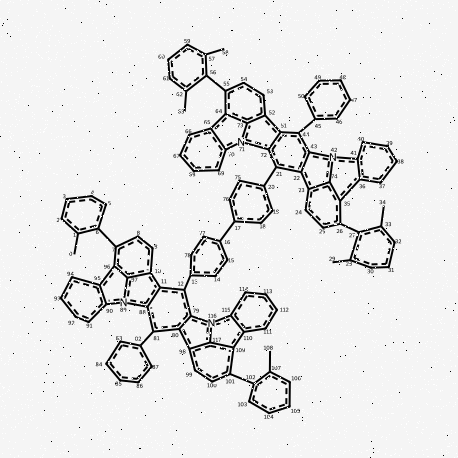 Cc1ccccc1-c1ccc2c3c(-c4ccc(-c5ccc(-c6c7c8ccc(-c9c(C)cccc9C)c9c%10ccccc%10n(c7c(-c7ccccc7)c7c%10ccc(-c%11c(C)cccc%11C)c%11c%12ccccc%12n(c67)c%10%11)c89)cc5)cc4)c4c(c(-c5ccccc5)c3n3c5ccccc5c1c23)c1ccc(-c2ccccc2C)c2c3ccccc3n4c12